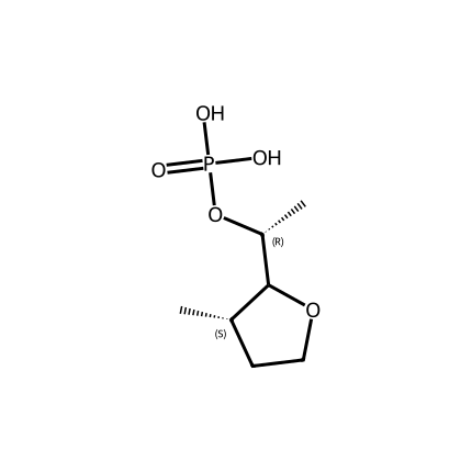 C[C@H]1CCOC1[C@@H](C)OP(=O)(O)O